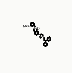 COc1cccc(CN2CCc3ccc(N4CCN(CCC(c5ccccc5)c5ccccc5)CC4)cc3C2=O)c1